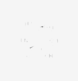 C[C@@H](O)[C@H]1C(=O)N[C@@H]1[C@@H](C)C(=O)O